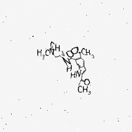 CCC(=O)c1cc2cc(C(C)=O)c(C(=O)NCCN(C)C)cc2[nH]1